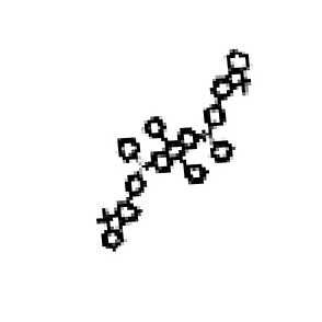 CC1(C)C2=C(C=CCC2)c2ccc(-c3ccc(N(c4ccccc4)c4ccc5c(-c6ccccc6)c6cc(N(c7ccccc7)c7ccc(-c8ccc9c(c8)C(C)(C)c8ccccc8-9)cc7)ccc6c(-c6ccccc6)c5c4)cc3)cc21